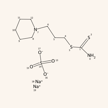 NC(=S)SCCCN1CCCCC1.O=S(=O)([O-])[O-].[Na+].[Na+]